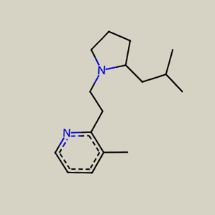 Cc1cccnc1CCN1CCCC1CC(C)C